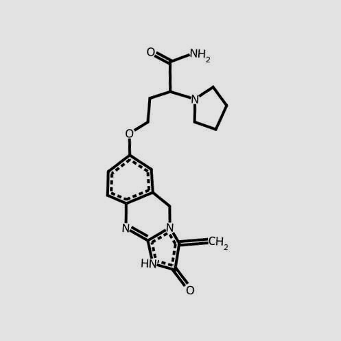 C=c1c(=O)[nH]c2n1Cc1cc(OCCC(C(N)=O)N3CCCC3)ccc1N=2